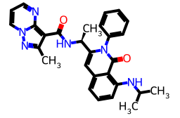 Cc1nn2cccnc2c1C(=O)N[C@@H](C)c1cc2cccc(NC(C)C)c2c(=O)n1-c1ccccc1